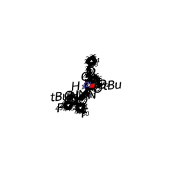 CC(C)(C)OC(=O)N[C@H](C(=O)Nc1cncc(F)c1/C=C\C1CN(C(=O)OC(C)(C)C)CCN1C(=O)OCc1ccccc1)C(c1ccc(F)cc1)c1ccc(F)cc1